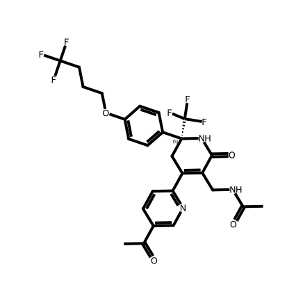 CC(=O)NCC1=C(c2ccc(C(C)=O)cn2)C[C@](c2ccc(OCCCC(F)(F)F)cc2)(C(F)(F)F)NC1=O